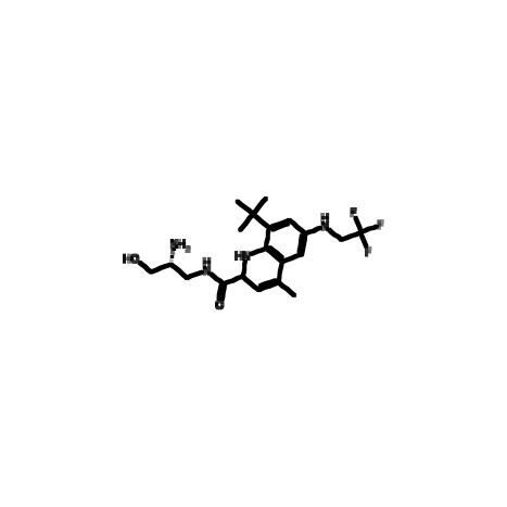 CC1=CC(C(=O)NC[C@@H](N)CO)Nc2c1cc(NCC(F)(F)F)cc2C(C)(C)C